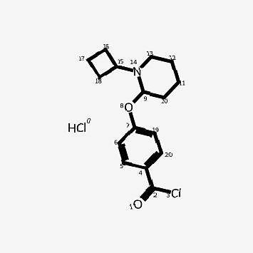 Cl.O=C(Cl)c1ccc(OC2CCCCN2C2CCC2)cc1